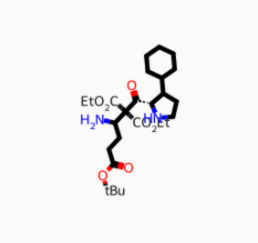 CCOC(=O)C(C(=O)OCC)(C(=O)[C@H]1NCCC1C1CCCCC1)C(N)CCC(=O)OC(C)(C)C